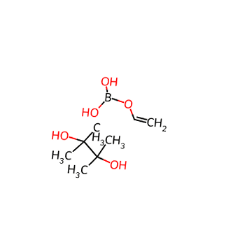 C=COB(O)O.CC(C)(O)C(C)(C)O